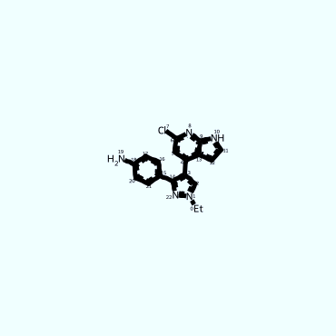 CCn1cc(-c2cc(Cl)nc3[nH]ccc23)c(-c2ccc(N)cc2)n1